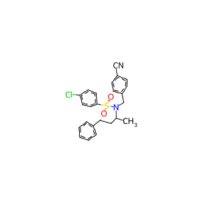 CC(CCc1ccccc1)N(Cc1ccc(C#N)cc1)S(=O)(=O)c1ccc(Cl)cc1